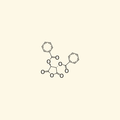 O=C(O[C@@H]1C(=O)OC(=O)[C@H]1OC(=O)c1ccccc1)c1ccccc1